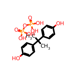 CC(C)(c1ccc(O)cc1)c1ccc(O)cc1.O=P(O)(O)OP(=O)(O)O